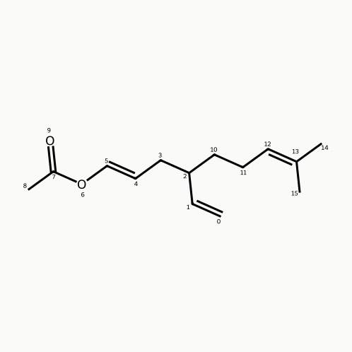 C=CC(C/C=C/OC(C)=O)CCC=C(C)C